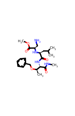 CNC(=O)[C@@H](NC(=O)[C@H](CC(C)C)N[C@H](CN)C(=O)OC)[C@@H](C)OCc1ccccc1